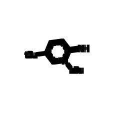 CCCCn1cc(C(C)(C)C)ccc1=N